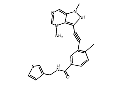 Cc1ccc(C(=O)NCc2ccsc2)cc1C#CC1=C2C(=CN=CN2N)N(C)N1